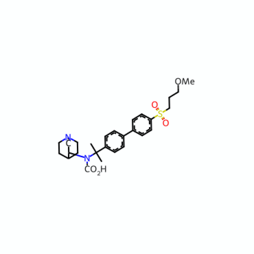 COCCCS(=O)(=O)c1ccc(-c2ccc(C(C)(C)N(C(=O)O)C3CN4CCC3CC4)cc2)cc1